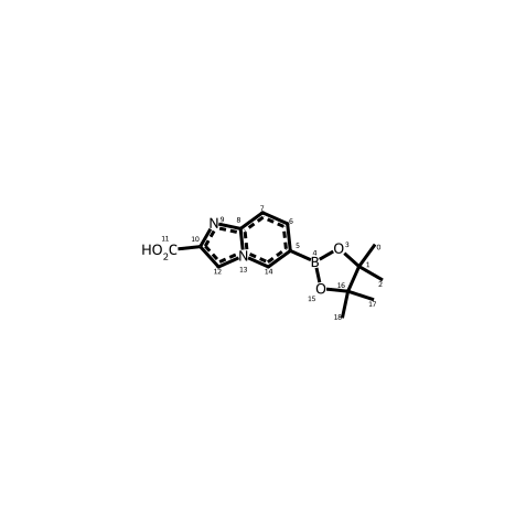 CC1(C)OB(c2ccc3nc(C(=O)O)cn3c2)OC1(C)C